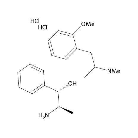 CNC(C)Cc1ccccc1OC.C[C@@H](N)[C@@H](O)c1ccccc1.Cl.Cl